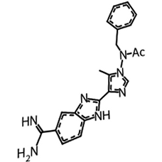 CC(=O)N(Cc1ccccc1)n1cnc(-c2nc3cc(C(=N)N)ccc3[nH]2)c1C